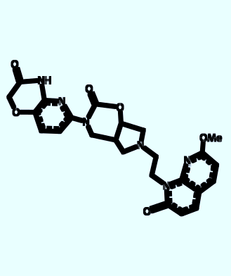 COc1ccc2ccc(=O)n(CCN3CC4CN(c5ccc6c(n5)NC(=O)CO6)C(=O)OC4C3)c2n1